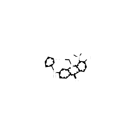 CCOC(=O)Cn1c2cc(Nc3ccccc3)ccc2c(=O)c2ccc(Cl)c(N(C)C)c21